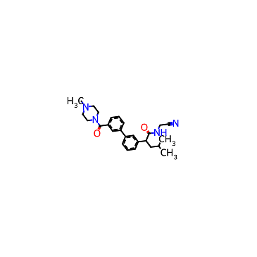 CC(C)CC(C(=O)NCC#N)c1cccc(-c2cccc(C(=O)N3CCN(C)CC3)c2)c1